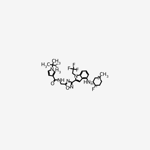 CN1CC[C@H](F)[C@H](Nc2cccc3c2cc(-c2noc(CNC(=O)c4ccn(C(C)(C)C)c4)n2)n3CC(F)(F)F)C1